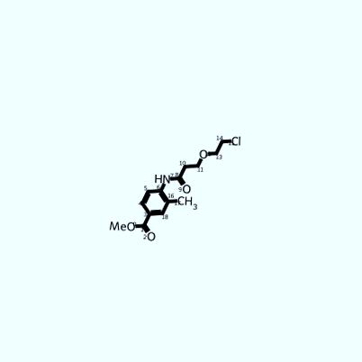 COC(=O)c1ccc(NC(=O)CCOCCCl)c(C)c1